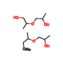 CC(O)COC(C)CO.COCC(C)OCC(C)O